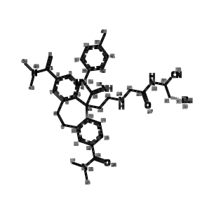 C=C(c1ccc2c(c1)CCc1cc(C(=O)N(C)C)ccc1C2(CCNCC(=O)NC(C#N)C[C@@H](C)CC)C(=N)Nc1ccc(C)cc1)N(C)C